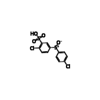 O=S(=O)(O)c1cc([S+]([O-])c2ccc(Cl)cc2)ccc1Cl